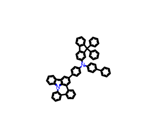 c1ccc(-c2ccc(N(c3ccc(-c4cc5c6c(c4)c4ccccc4n6-c4ccccc4-c4ccccc4-5)cc3)c3ccc4c(c3)C(c3ccccc3)(c3ccccc3)c3ccccc3-4)cc2)cc1